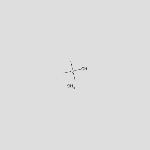 C[Si](C)(C)O.[SiH4]